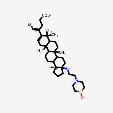 CC/C=C(\CCC(=O)O)C1=CCC2(C)C(CCC3(C)C4CCC5(NCCN6CC[S+]([O-])CC6)CCC[C@@H]5C4CCC32)C1(C)C